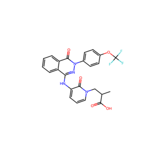 CC(Cn1cccc(Nc2nn(-c3ccc(OC(F)(F)F)cc3)c(=O)c3ccccc23)c1=O)C(=O)O